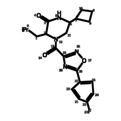 CC(C)CC1C(=O)NC(C2CCC2)CN1C(=O)c1noc(-c2ccc(F)cc2)n1